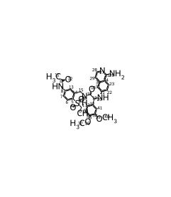 CCS(=O)(=O)c1ccc(NC(C)=O)cc1CNC(=O)C(Nc1ccc2c(N)nccc2c1)c1ccc(OC)c(OC)c1